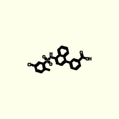 Cc1ccc(Cl)cc1S(=O)(=O)Nc1ccc(-c2cccc(C(=O)O)c2)c2ccccc12